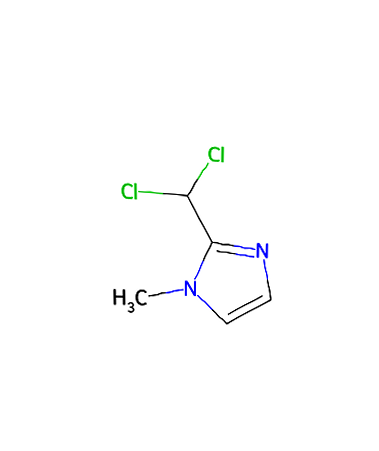 Cn1ccnc1C(Cl)Cl